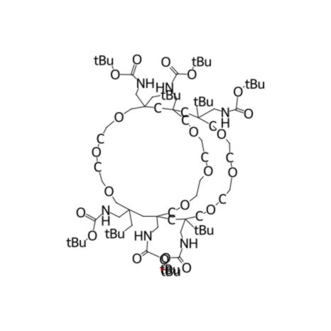 CC(C)(C)CC1(CNC(=O)OC(C)(C)C)COCCOCCOCC(CNC(=O)OC(C)(C)C)(CC(C)(C)C)CC2(CNC(=O)OC(C)(C)C)COCCOCCOCC(CNC(=O)OC(C)(C)C)(C1)CC(CNC(=O)OC(C)(C)C)(C(C)(C)C)COCCOCCOCC(CNC(=O)OC(C)(C)C)(C(C)(C)C)C2